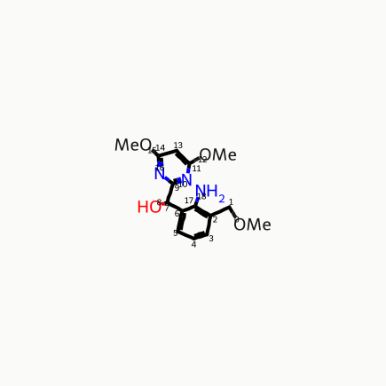 COCc1cccc(C(O)c2nc(OC)cc(OC)n2)c1N